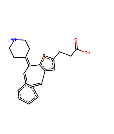 O=C(O)CCc1cc2c(s1)C(=C1CCNCC1)C=c1ccccc1=C2